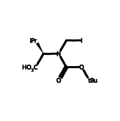 CC(C)[C@@H](C(=O)O)N(CI)C(=O)OC(C)(C)C